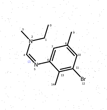 CCN(C)/C=N\c1cc(C)cc(Br)c1C